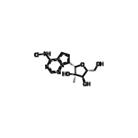 C[C@@]1(O)[C@H](O)[C@@H](CO)O[C@H]1c1ccc2c(NCl)ncnn12